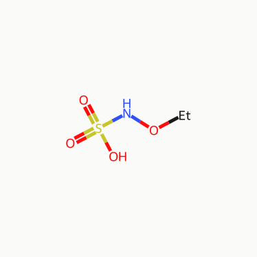 CCONS(=O)(=O)O